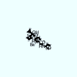 O=C(C[N+]12CCC(CC1)[C@@H](OC(=O)C(O)(c1cccs1)C1CC1)C2)Nc1ccon1.[Br-]